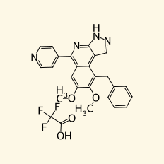 COc1cc2c(-c3ccncc3)nc3[nH]ncc3c2c(Cc2ccccc2)c1OC.O=C(O)C(F)(F)F